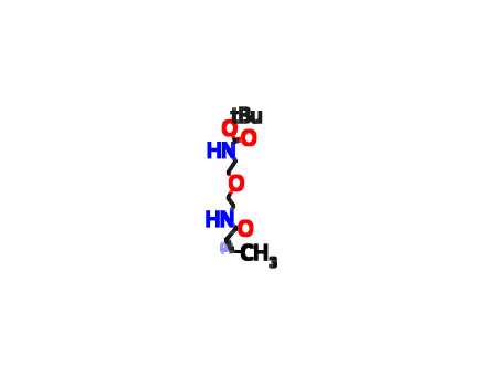 C/C=C\C(=O)NCCOCCNC(=O)OC(C)(C)C